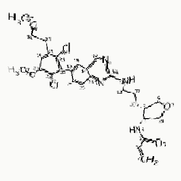 C=CC(=O)N[C@H]1COC[C@H]1CCCNc1ncc2cc(-c3c(Cl)c(CCOC)cc(OC)c3Cl)ccc2n1